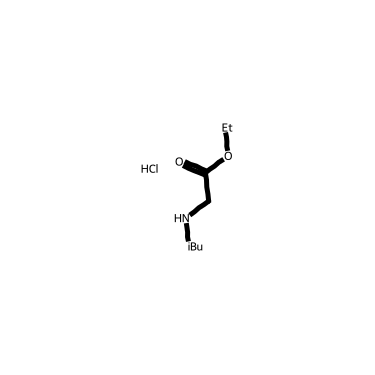 CCOC(=O)CNC(C)CC.Cl